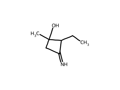 CCC1C(=N)CC1(C)O